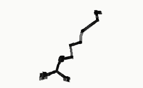 CCCC(CC)OCCCCCC(C)=O